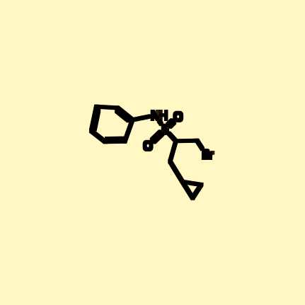 O=S(=O)(Nc1ccccc1)C(CBr)CC1CC1